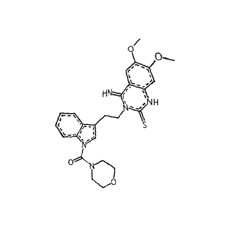 COc1cc2[nH]c(=S)n(CCc3cn(C(=O)N4CCOCC4)c4ccccc34)c(=N)c2cc1OC